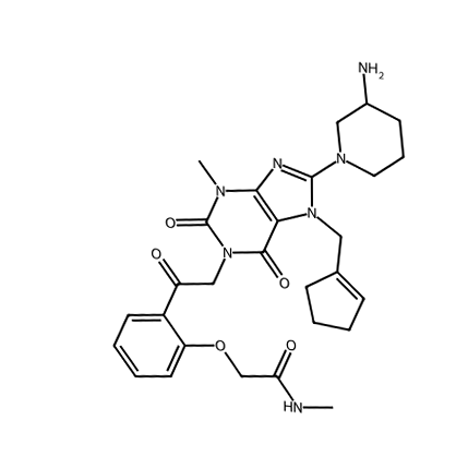 CNC(=O)COc1ccccc1C(=O)Cn1c(=O)c2c(nc(N3CCCC(N)C3)n2CC2=CCCC2)n(C)c1=O